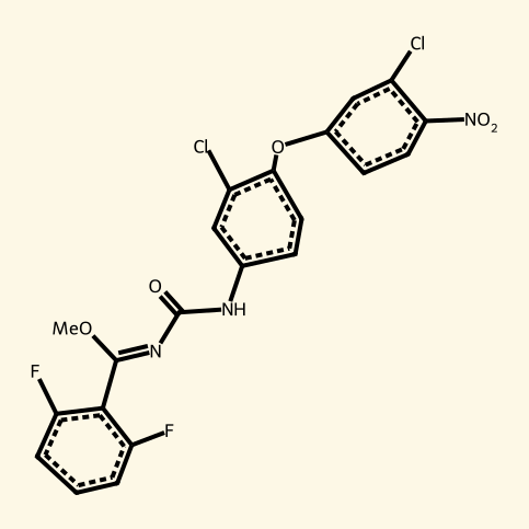 CO/C(=N\C(=O)Nc1ccc(Oc2ccc([N+](=O)[O-])c(Cl)c2)c(Cl)c1)c1c(F)cccc1F